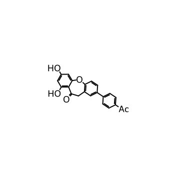 CC(=O)c1ccc(-c2ccc3c(c2)CC(=O)c2c(O)cc(O)cc2O3)cc1